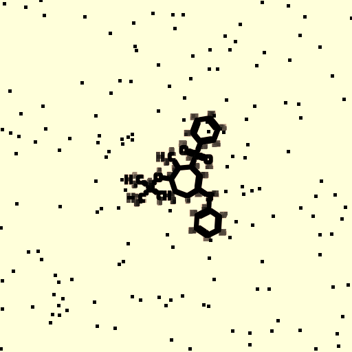 CC1C(O[Si](C)(C)C)CCC(Sc2ccccc2)=CC1S(=O)(=O)c1ccccc1